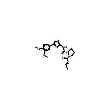 CCOC(=O)N1CCC[C@H]1C(=O)Nc1nc(-c2ccc(OC)c(OC)c2)cs1